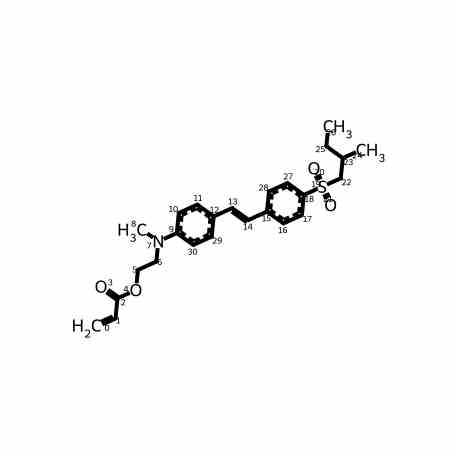 C=CC(=O)OCCN(C)c1ccc(/C=C/c2ccc(S(=O)(=O)CC(C)CC)cc2)cc1